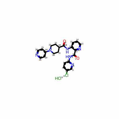 Cl.O=C(Nc1ccc(Cl)cn1)c1ncccc1NC(=O)C1CCN(c2ccncc2)CC1